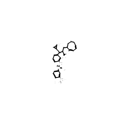 O=C1OC2=CC=CCCCC2C(O)C1C(c1cccc(NS(=O)(=O)c2cccc(NO)c2)c1)C1CC1